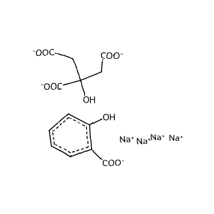 O=C([O-])CC(O)(CC(=O)[O-])C(=O)[O-].O=C([O-])c1ccccc1O.[Na+].[Na+].[Na+].[Na+]